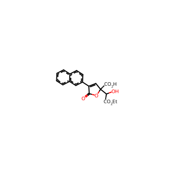 CCOC(=O)C(O)C1(C(=O)O)C=C(c2ccc3ccccc3c2)C(=O)O1